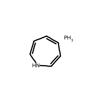 C1=CC=CNC=C1.P